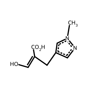 Cn1cc(C/C(=C/O)C(=O)O)cn1